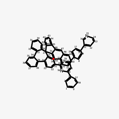 c1ccc(-c2cc(-c3ccc(-c4cccnc4)cc3)nc(-c3ccc4c(c3)C3(c5ccccc5-c5ccccc5-4)c4ccccc4-c4cc5ccccc5cc43)n2)cc1